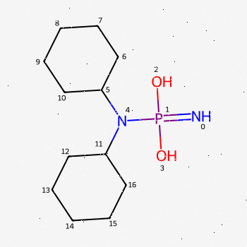 N=P(O)(O)N(C1CCCCC1)C1CCCCC1